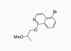 COC(C)COc1nccc2c(Br)cccc12